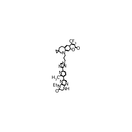 CCN1C(=O)CNc2ncc(-c3ccc(-c4ncn(CCCN5CC6(CCC7=CC8C(C(F)(F)F)=CC(=O)OC8C=C75)CC6)n4)nc3C)nc21